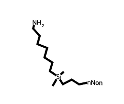 CCCCCCCCCCCC[Si](C)(C)CCCCCCCN